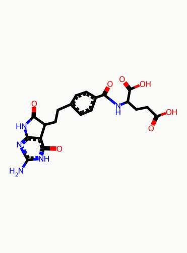 Nc1nc2c(c(=O)[nH]1)C(CCc1ccc(C(=O)NC(CCC(=O)O)C(=O)O)cc1)C(=O)N2